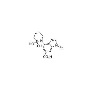 CCn1ccc2c(N3CCCCS3(O)O)cc(C(=O)O)cc21